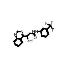 O=C(CC(S)c1ncnc2ccccc12)Nc1cccc(C(F)(F)F)c1